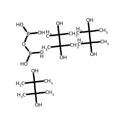 CC(C)(O)C(C)(C)O.CC(C)(O)C(C)(C)O.CC(C)(O)C(C)(C)O.OB(O)OB(O)O